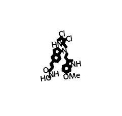 COc1ccc2c(CCN(Cc3[nH]cc(Cl)c3Cl)C3CCc4cc(C=CC(=O)NO)ccc43)c[nH]c2c1